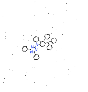 C1=C(C2(c3ccccc3)c3ccccc3-c3c2ccc2c3c3ccccc3n2-c2nc(-c3ccccc3)nc(-c3ccccc3)n2)CCCC1